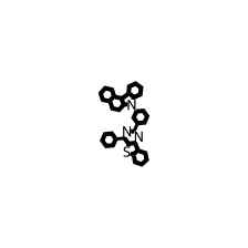 c1ccc(-c2nc(-c3cccc(-n4c5ccccc5c5c6ccccc6ccc54)c3)nc3c2sc2ccccc23)cc1